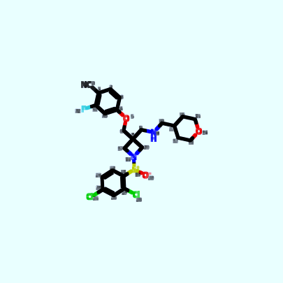 N#Cc1ccc(OCC2(CNCC3CCOCC3)CN([S+]([O-])c3ccc(Cl)cc3Cl)C2)cc1F